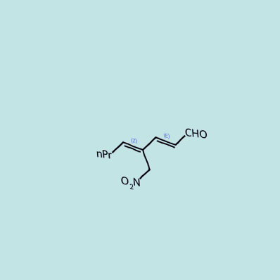 CCC/C=C(/C=C/C=O)C[N+](=O)[O-]